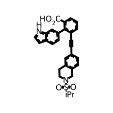 CC(C)S(=O)(=O)N1CCc2cc(C#Cc3cccc(C(=O)O)c3-c3ccc4cc[nH]c4c3)ccc2C1